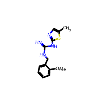 COc1ccccc1CNC(=N)Nc1ncc(C)s1